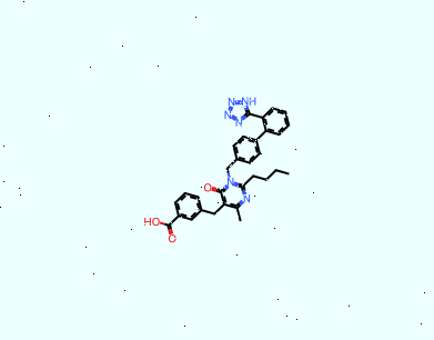 CCCCc1nc(C)c(Cc2cccc(C(=O)O)c2)c(=O)n1Cc1ccc(-c2ccccc2-c2nnn[nH]2)cc1